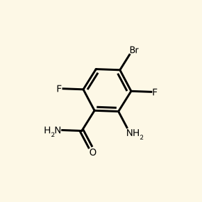 NC(=O)c1c(F)cc(Br)c(F)c1N